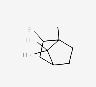 CC1(C)C2CCC1(C)C(Br)C2